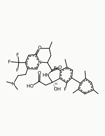 Cc1cc(C)c(-c2cc(C)c(F)c([C@@](O)(CC(=O)O)NC(=O)C(CC(C)C)n3cc(CCN(C)C)c(C(F)(F)F)cc3=O)c2F)c(C)c1